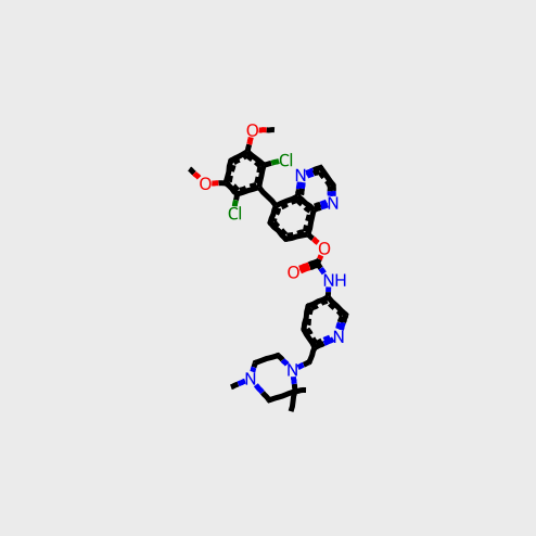 COc1cc(OC)c(Cl)c(-c2ccc(OC(=O)Nc3ccc(CN4CCN(C)CC4(C)C)nc3)c3nccnc23)c1Cl